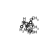 CCOc1cc(OC(C)C)c(F)c(N(Cc2nc(-c3ccccc3)n[nH]2)c2ccc(C(=N)N)cc2)c1.O=C(O)C(F)(F)F